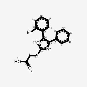 O=C(O)CSc1nc(-c2ccccc2)c(-c2ccccc2Br)o1